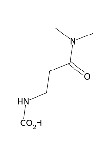 CN(C)C(=O)CCNC(=O)O